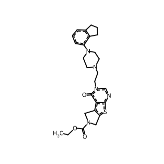 CCOC(=O)N1Cc2sc3ncn(CCN4CCN(c5cccc6c5CCC6)CC4)c(=O)c3c2C1